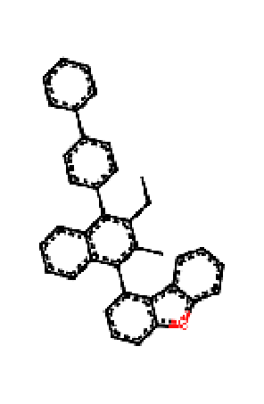 CCc1c(C)c(-c2cccc3oc4ccccc4c23)c2ccccc2c1-c1ccc(-c2ccccc2)cc1